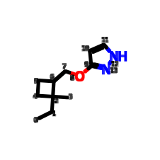 CCC1(C)CCC1COc1cc[nH]n1